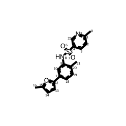 Cc1ccc(S(=O)(=O)Nc2cc(-c3ccc(C)o3)ccc2C)cn1